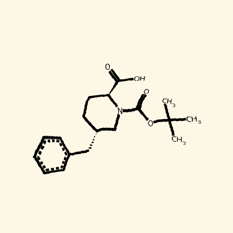 CC(C)(C)OC(=O)N1C[C@H](Cc2ccccc2)CC[C@H]1C(=O)O